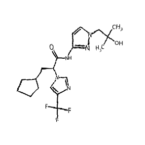 CC(C)(O)Cn1ccc(NC(=O)[C@H](CC2CCCC2)n2cnc(C(F)(F)F)c2)n1